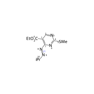 CCOC(=O)c1cnc(SC)nc1/N=N/C(C)C